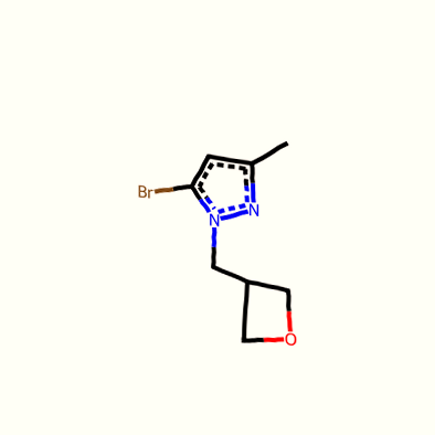 Cc1cc(Br)n(CC2COC2)n1